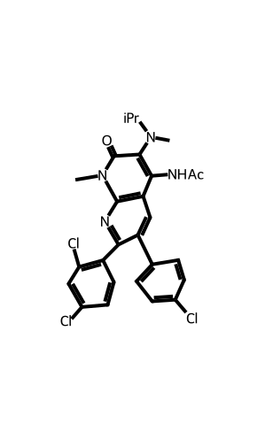 CC(=O)Nc1c(N(C)C(C)C)c(=O)n(C)c2nc(-c3ccc(Cl)cc3Cl)c(-c3ccc(Cl)cc3)cc12